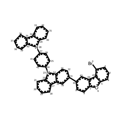 Brc1cccc2oc3ccc(-c4ccc5c(c4)c4ccccc4n5-c4ccc(-n5c6ccccc6c6ccccc65)cc4)cc3c12